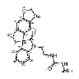 CCCCNC(=O)NCCN1C(=O)C2(COc3cc4c(cc32)OCO4)c2ccccc21